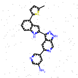 Cc1ccc(-c2cccc3[nH]c(-c4n[nH]c5cnc(-c6cncc(N)c6)cc45)cc23)s1